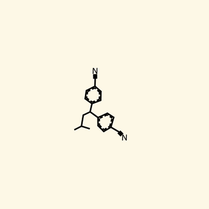 CC(C)CC(c1ccc(C#N)cc1)c1ccc(C#N)cc1